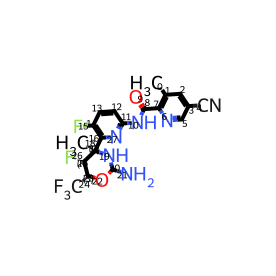 Cc1cc(C#N)cnc1C(=O)Nc1ccc(F)c([C@@]2(C)NC(N)O[C@H](C(F)(F)F)[C@@H]2F)n1